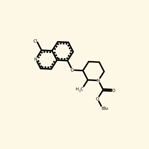 CC1C(Oc2cccc3c(Cl)nccc23)CCCN1C(=O)OC(C)(C)C